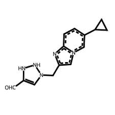 O=CC1=CN(Cc2cn3cc(C4CC4)ccc3n2)NN1